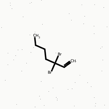 [CH]=CC(Br)(Br)CCCC